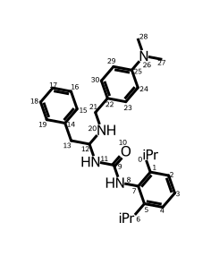 CC(C)c1cccc(C(C)C)c1NC(=O)NC(Cc1ccccc1)NCc1ccc(N(C)C)cc1